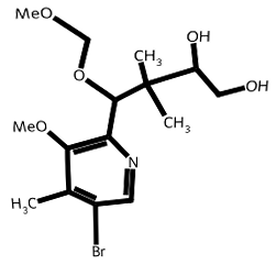 COCOC(c1ncc(Br)c(C)c1OC)C(C)(C)C(O)CO